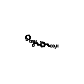 O=C(O)/C=C/c1ccc(/C=C/C(=O)NOC2CCCCO2)nc1